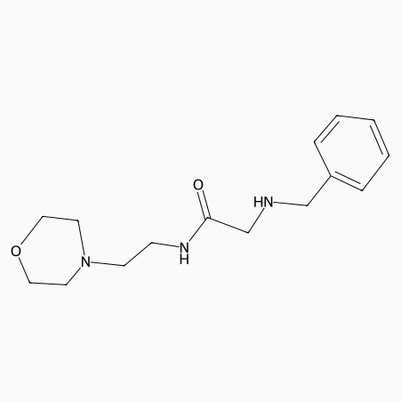 O=C(CNCc1ccccc1)NCCN1CCOCC1